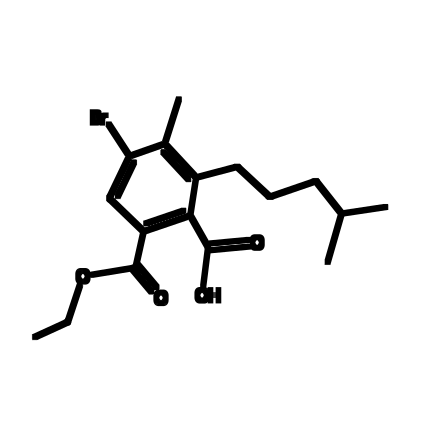 CCOC(=O)c1cc(Br)c(C)c(CCCC(C)C)c1C(=O)O